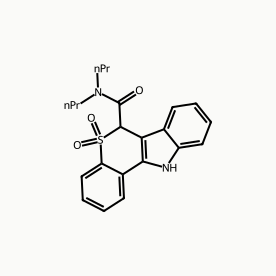 CCCN(CCC)C(=O)C1c2c([nH]c3ccccc23)-c2ccccc2S1(=O)=O